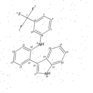 FC(F)(F)c1cccc(Nc2ccccc2-c2c[nH]c3ccccc23)c1